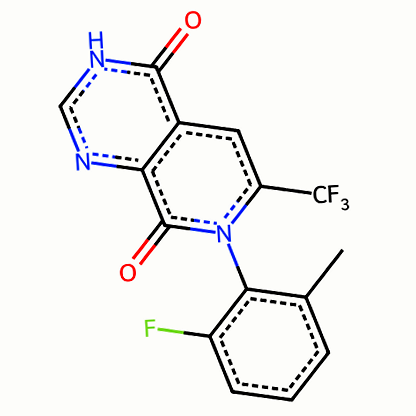 Cc1cccc(F)c1-n1c(C(F)(F)F)cc2c(=O)[nH]cnc2c1=O